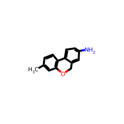 Cc1ccc2c(c1)OCc1cc(N)ccc1-2